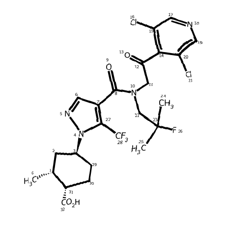 C[C@@H]1C[C@@H](n2ncc(C(=O)N(CC(=O)c3c(Cl)cncc3Cl)CC(C)(C)F)c2C(F)(F)F)CC[C@@H]1C(=O)O